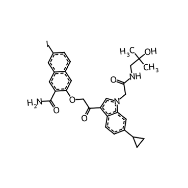 CC(C)(O)CNC(=O)Cn1cc(C(=O)COc2cc3ccc(I)cc3cc2C(N)=O)c2ccc(C3CC3)cc21